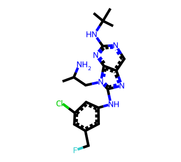 CC(N)Cn1c(Nc2cc(Cl)cc(CF)c2)nc2cnc(NC(C)(C)C)nc21